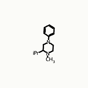 CC(C)C1CN(c2ccccc2)CCN1C